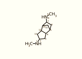 CNC1CC2C3CC(NC)C(C3)C2C1